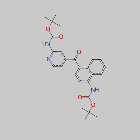 CC(C)(C)OC(=O)Nc1cc(C(=O)c2ccc(NC(=O)OC(C)(C)C)c3ccccc23)ccn1